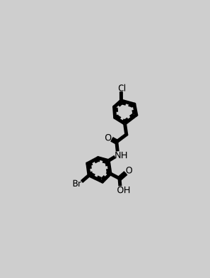 O=C(Cc1ccc(Cl)cc1)Nc1ccc(Br)cc1C(=O)O